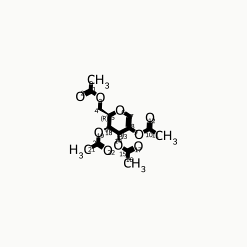 CC(=O)OC[C@H]1OC=C(OC(C)=O)[C@@H](OC(C)=O)[C@@H]1OC(C)=O